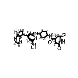 O=C1CC(C(=O)N[C@H]2CC[C@H](Nc3cc(-c4c[nH]c5nccnc45)cc(Cl)n3)CC2)CC(=O)N1